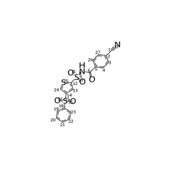 N#Cc1ccc(C(=O)NS(=O)(=O)c2cc(S(=O)(=O)c3ccccc3)cs2)cc1